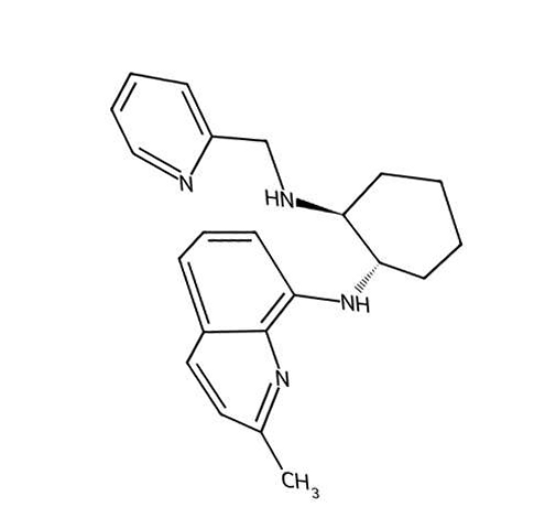 Cc1ccc2cccc(N[C@H]3CCCC[C@@H]3NCc3ccccn3)c2n1